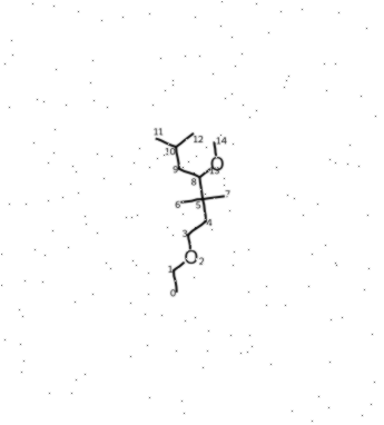 CCOCCC(C)(C)C(CC(C)C)OC